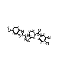 COc1ccc2nc(-c3nnc4n3CCN(C(=O)c3ccc(Cl)c(Cl)c3)C4)sc2c1